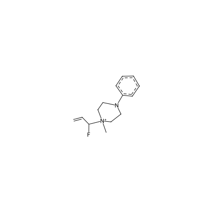 C=CC(F)[N+]1(C)CCN(c2ccccc2)CC1